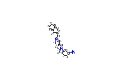 N#Cc1ccc2ccn(CC3CCN(CCc4ccc5ccccc5c4)C3)c2c1